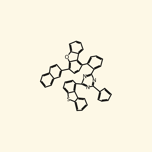 c1ccc(-c2nc(-c3ccccc3-c3ccc(-c4ccc5ccccc5c4)c4oc5ccccc5c34)nc(-c3cccc4sc5ccccc5c34)n2)cc1